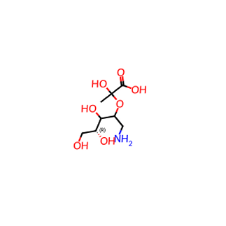 CC(O)(OC(CN)C(O)[C@H](O)CO)C(=O)O